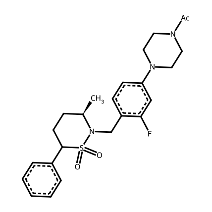 CC(=O)N1CCN(c2ccc(CN3[C@H](C)CCC(c4ccccc4)S3(=O)=O)c(F)c2)CC1